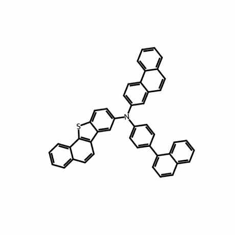 c1ccc2c(-c3ccc(N(c4ccc5c(ccc6ccccc65)c4)c4ccc5sc6c7ccccc7ccc6c5c4)cc3)cccc2c1